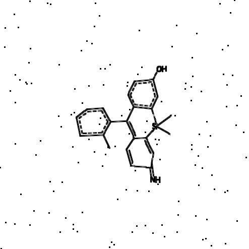 Cc1ccccc1C1=C2C=CC(=N)C=C2[Si](C)(C)c2cc(O)ccc21